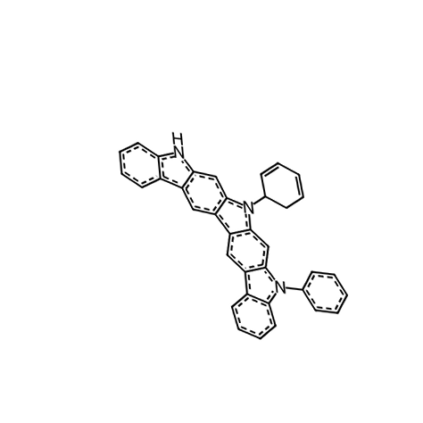 C1=CCC(n2c3cc4[nH]c5ccccc5c4cc3c3cc4c5ccccc5n(-c5ccccc5)c4cc32)C=C1